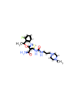 CC(Oc1nsc(NC(=O)NCCCN2CCN(C)CC2)c1C(N)=O)c1ccccc1F